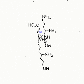 NCCCC(N)CCCO.NCCCC(N)CCCO.O=C(O)/C=C/C(=O)O